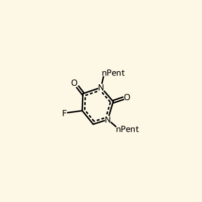 CCCCCn1cc(F)c(=O)n(CCCCC)c1=O